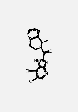 C[C@@H]1c2cccnc2CCN1C(=O)c1nc2ncc(Cl)c(Cl)c2[nH]1